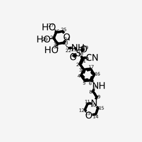 N#C/C(=C\c1ccc(NCCN2CCOCC2)cc1)S(=O)(=O)NC[C@H]1OC[C@H](O)[C@@H](O)[C@@H]1O